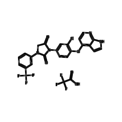 O=C(O)C(F)(F)F.O=C1CN(c2cccc(C(F)(F)F)c2)C(=O)N1c1ccc(Oc2ccnc3[nH]ccc23)c(Cl)c1